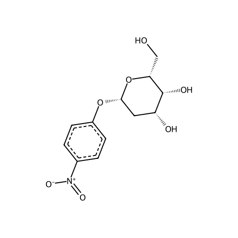 O=[N+]([O-])c1ccc(O[C@H]2C[C@@H](O)[C@@H](O)[C@@H](CO)O2)cc1